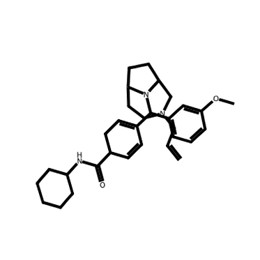 C=CCN1CCC2CCC(C1)N2C(C1=CCC(C(=O)NC2CCCCC2)C=C1)c1cccc(OC)c1